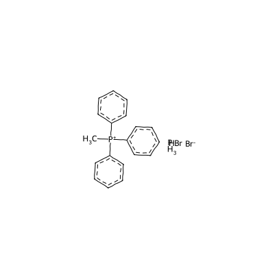 Br.C[P+](c1ccccc1)(c1ccccc1)c1ccccc1.P.[Br-]